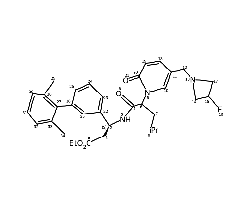 CCOC(=O)C[C@H](NC(=O)C(CC(C)C)n1cc(CN2CC(F)C2)ccc1=O)c1cccc(-c2c(C)cccc2C)c1